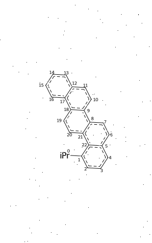 CC(C)c1cccc2ccc3c4ccc5ccccc5c4ccc3c12